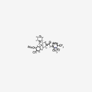 COc1cc(C2(CN3CCOCC3)CCN(C(=O)CN/C(C)=C(/Cl)C(=N)C(F)(F)F)CC2)ccc1Cl